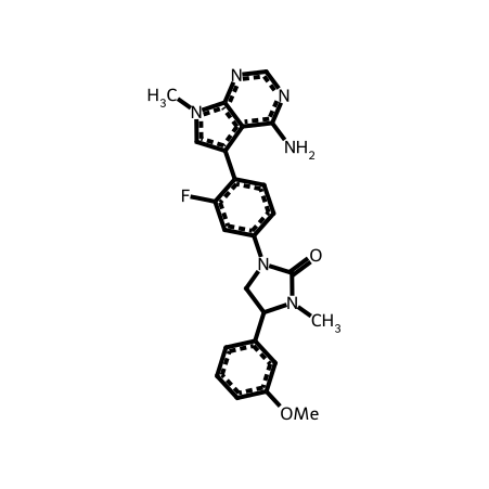 COc1cccc(C2CN(c3ccc(-c4cn(C)c5ncnc(N)c45)c(F)c3)C(=O)N2C)c1